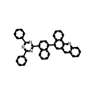 c1ccc(-c2nc(-c3ccccc3)nc(-c3ccc(-c4cc5cc6ccccc6nc5c5ccccc45)c4ccccc34)n2)cc1